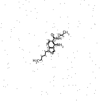 CCCCCn1ncc2c(N)c(C(=O)NOCC)cnc21